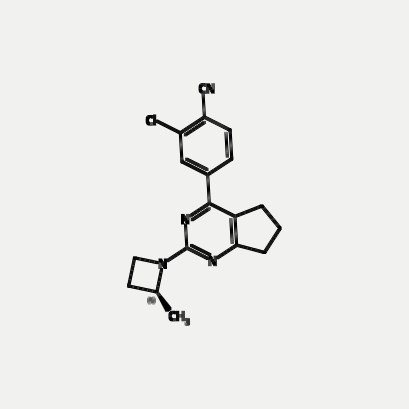 C[C@H]1CCN1c1nc2c(c(-c3ccc(C#N)c(Cl)c3)n1)CCC2